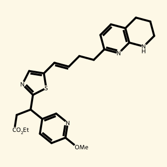 CCOC(=O)CC(c1ccc(OC)nc1)c1ncc(/C=C/CCc2ccc3c(n2)NCCC3)s1